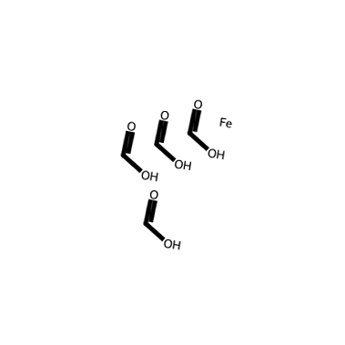 O=CO.O=CO.O=CO.O=CO.[Fe]